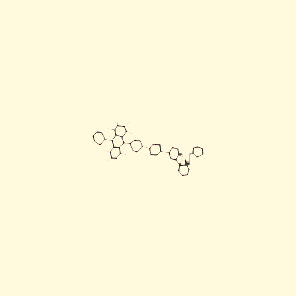 Cc1c(C)c(C)c2c(-c3ccc(-c4ccc(-c5ccc6c(c5)c5ccccc5n6-c5ccccc5)cc4)cc3)c3c(C)c(C)c(C)c(C)c3c(-c3ccccc3)c2c1C